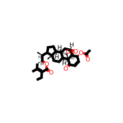 CCC1=C(C)C[C@H]([C@@H](C)C2CC[C@H]3[C@@H]4C[C@H]5O[C@]56[C@@H](OC(C)=O)C=CC(=O)[C@]6(CO)[C@H]4CC[C@]23C)OC1=O